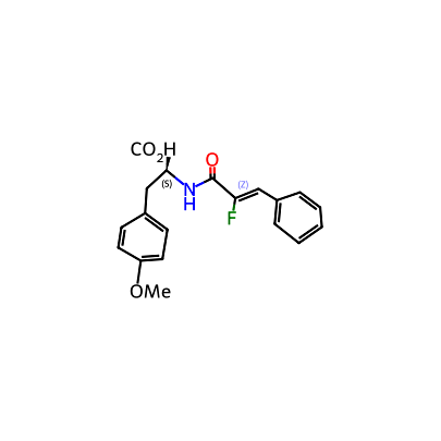 COc1ccc(C[C@H](NC(=O)/C(F)=C/c2ccccc2)C(=O)O)cc1